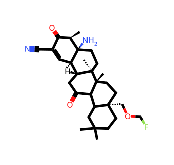 C[C@@H]1C(=O)C(C#N)=C[C@]2(C)[C@H]3CC(=O)C4C5CC(C)(C)CC[C@]5(COCF)CC[C@@]4(C)[C@]3(C)CC[C@@]12N